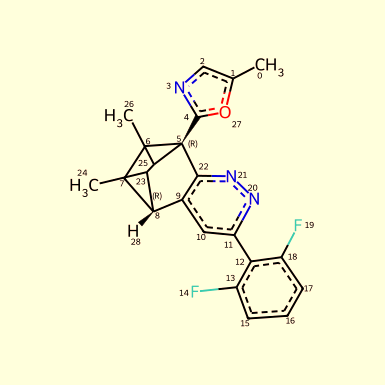 Cc1cnc([C@@]23CC[C@@H](c4cc(-c5c(F)cccc5F)nnc42)C(C)C3C)o1